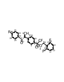 C=C(c1ccc(C(OCc2c(F)cccc2F)(C(F)(F)F)C(F)(F)F)cc1)[S+]([O-])c1ccc(F)cc1